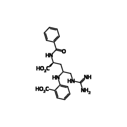 N=C(N)NCC(C[C@H](NC(=O)c1ccccc1)C(=O)O)Nc1ccccc1C(=O)O